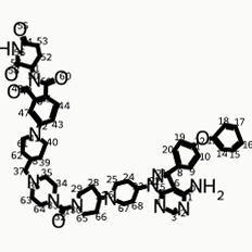 Nc1ncnc2c1c(-c1ccc(Oc3ccccc3)cc1)nn2C1CCN(C2CCN(C(=O)N3CCN(CC4CCN(c5ccc6c(c5)C(=O)N(C5CCC(=O)NC5=O)C6=O)CC4)CC3)CC2)CC1